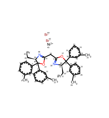 Cc1cccc(C2(c3cccc(C)c3)OC(CC3=N[C@H](CC(C)C)C(c4cccc(C)c4)(c4cccc(C)c4)O3)=N[C@@H]2CC(C)C)c1.[Br-].[Br-].[Ni+2]